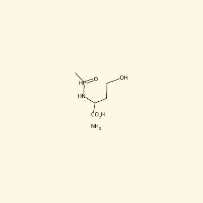 C[PH](=O)NC(CCO)C(=O)O.N